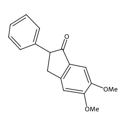 COc1cc2c(cc1OC)C(=O)C(c1ccccc1)C2